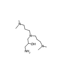 CN(C)CCCN(CCCN(C)C)CC(O)CN